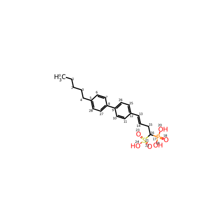 CCCCCc1ccc(-c2ccc(C=CCC(P(=O)(O)O)S(=O)(=O)O)cc2)cc1